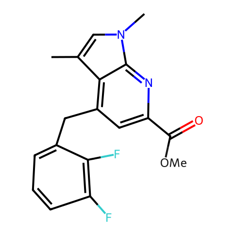 COC(=O)c1cc(Cc2cccc(F)c2F)c2c(C)cn(C)c2n1